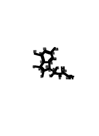 CC1=C(C)[C@@H]([Si](C)(C)[Ti][NH]C(C)C)c2cc(C)cc(C)c21